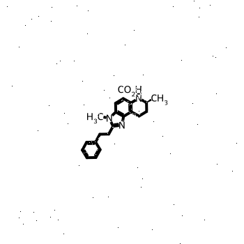 C[C@H]1CCc2c(ccc3c2nc(CCc2ccccc2)n3C)N1C(=O)O